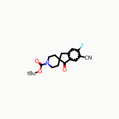 CC(C)(C)OC(=O)N1CCC2(CC1)Cc1cc(F)c(C#N)cc1C2=O